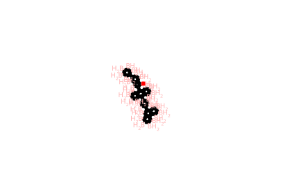 BC1=c2c(B)c(B)c(-c3c(B)c(B)c(B)c(B)c3B)c(B)c2=C(B)C1c1c2c(B)c(B)c(B)c(B)c2c(-c2c(B)c(B)c(-c3c(B)c4c(B)c(B)c(B)c(B)c4c4c(B)c(B)c(B)c(B)c34)c(B)c2B)c2c(B)c(B)c(B)c(B)c12